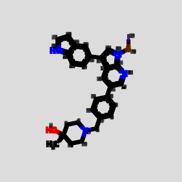 CC1(O)CCN(Cc2ccc(-c3cnc4c(c3)c(-c3ccc5[nH]ccc5c3)cn4SI)cc2)CC1